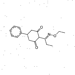 CCON=C(CC)C1C(=O)CC(c2ccccc2)CC1=O